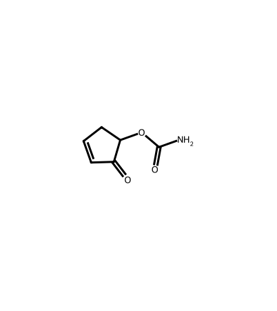 NC(=O)OC1CC=CC1=O